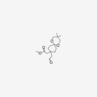 COC(=O)CC1(CC=O)CCC2(CC1)OCC(C)(C)CO2